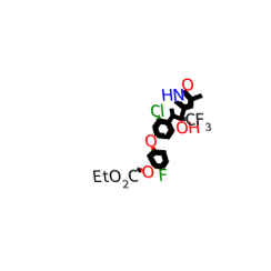 CCOC(=O)COc1cc(Oc2ccc(C(C)C(O)(c3c[nH]c(=O)c(C)c3)C(F)(F)F)c(Cl)c2)ccc1F